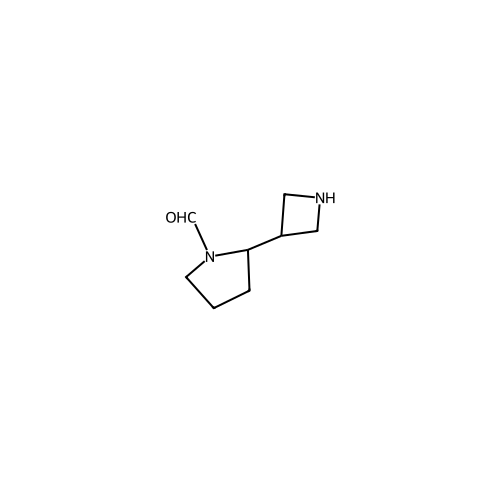 O=CN1CCCC1C1CNC1